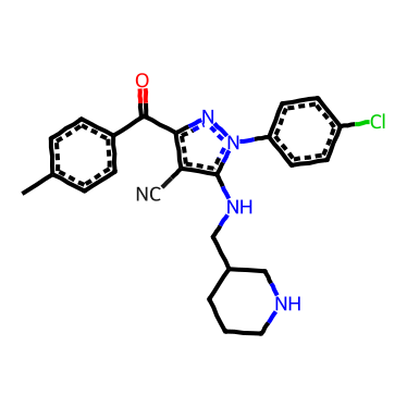 Cc1ccc(C(=O)c2nn(-c3ccc(Cl)cc3)c(NCC3CCCNC3)c2C#N)cc1